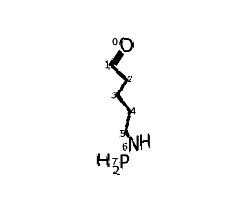 O=CCCCCNP